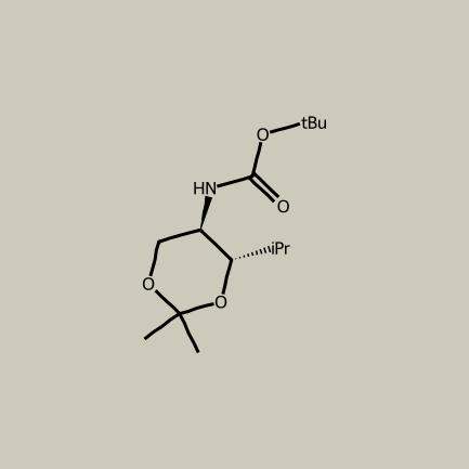 CC(C)[C@@H]1OC(C)(C)OC[C@H]1NC(=O)OC(C)(C)C